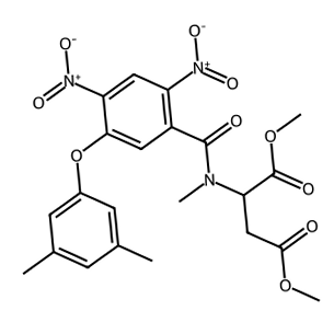 COC(=O)CC(C(=O)OC)N(C)C(=O)c1cc(Oc2cc(C)cc(C)c2)c([N+](=O)[O-])cc1[N+](=O)[O-]